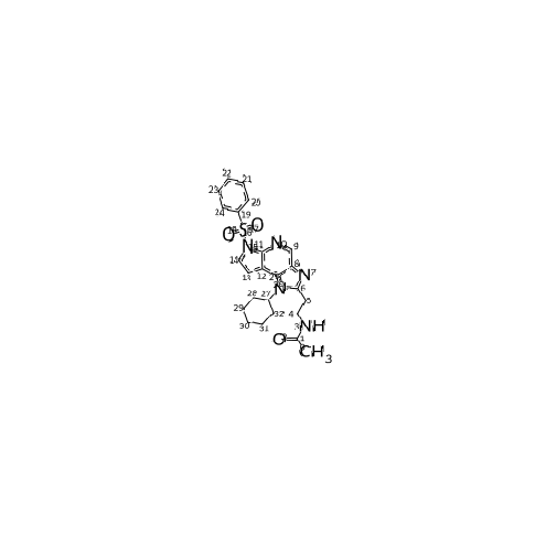 CC(=O)NCCc1nc2cnc3c(ccn3S(=O)(=O)c3ccccc3)c2n1C1CCCCC1